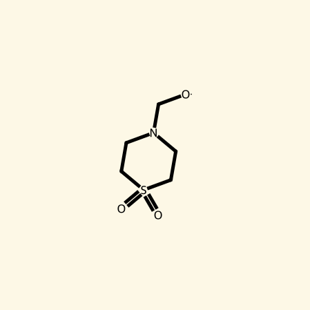 [O]CN1CCS(=O)(=O)CC1